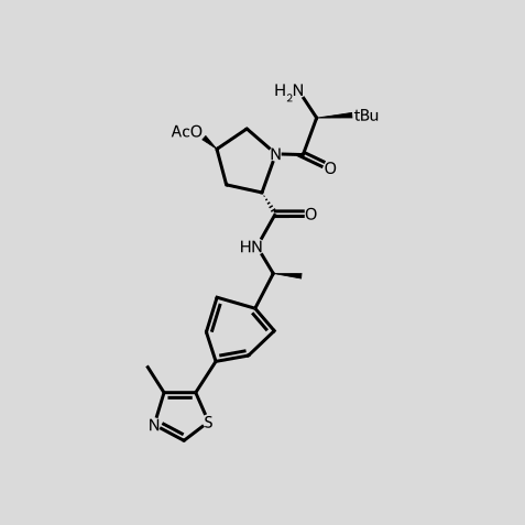 CC(=O)O[C@@H]1C[C@@H](C(=O)N[C@@H](C)c2ccc(-c3scnc3C)cc2)N(C(=O)[C@@H](N)C(C)(C)C)C1